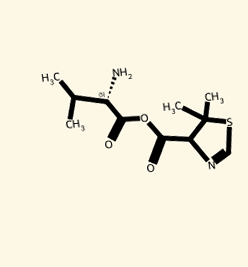 CC(C)[C@H](N)C(=O)OC(=O)C1N=CSC1(C)C